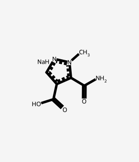 Cn1ncc(C(=O)O)c1C(N)=O.[NaH]